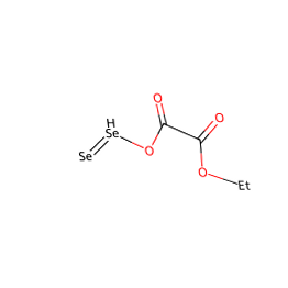 CCOC(=O)C(=O)O[SeH]=[Se]